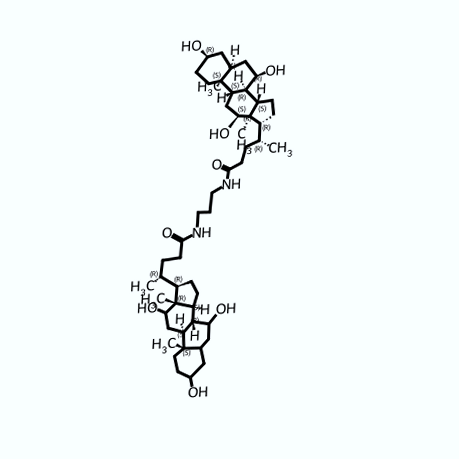 C[C@H](CCC(=O)NCCCNC(=O)CC[C@@H](C)[C@H]1CC[C@H]2[C@@H]3[C@H](O)C[C@@H]4C[C@H](O)CC[C@]4(C)[C@H]3C[C@H](O)[C@]12C)[C@H]1CC[C@H]2[C@@H]3C(O)CC4CC(O)CC[C@]4(C)[C@H]3CC(O)[C@]12C